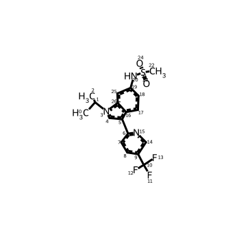 CC(C)n1cc(-c2ccc(C(F)(F)F)cn2)c2ccc(NS(C)(=O)=O)cc21